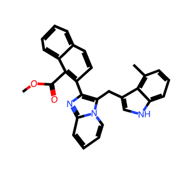 COC(=O)c1c(-c2nc3ccccn3c2Cc2c[nH]c3cccc(C)c23)ccc2ccccc12